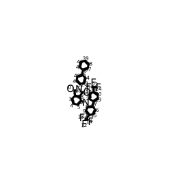 O=C1c2cccc(-n3c4cc(C(F)(F)F)ccc4c4ccc(C(F)(F)F)cc43)c2C(=O)N1c1ccc(-c2ccccc2)cc1